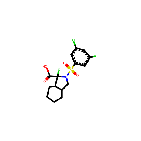 O=C(O)C1(Cl)C2CCCCC2CN1S(=O)(=O)c1cc(Cl)cc(Cl)c1